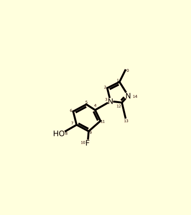 Cc1cn(-c2ccc(O)c(F)c2)c(C)n1